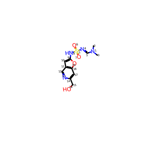 CN(C)C=NS(=O)(=O)Nc1cc2cnc(CO)cc2o1